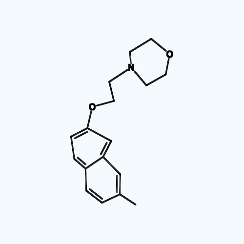 Cc1ccc2ccc(OCCN3CCOCC3)cc2c1